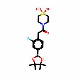 CC1(C)OB(c2ccc(CC(=O)N3CCS(O)(O)CC3)c(F)c2)OC1(C)C